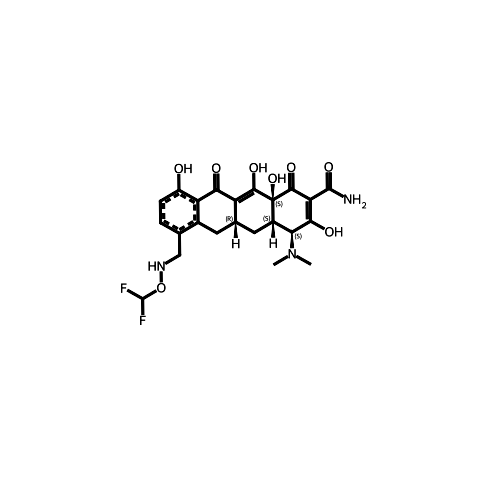 CN(C)[C@@H]1C(O)=C(C(N)=O)C(=O)[C@@]2(O)C(O)=C3C(=O)c4c(O)ccc(CNOC(F)F)c4C[C@H]3C[C@@H]12